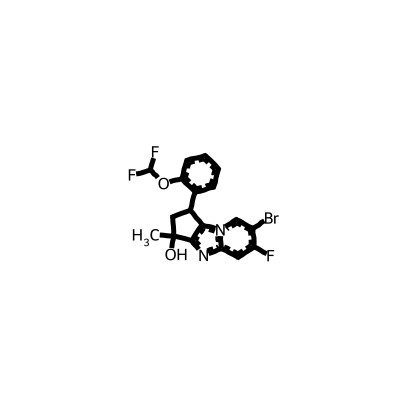 CC1(O)CC(c2ccccc2OC(F)F)c2c1nc1cc(F)c(Br)cn21